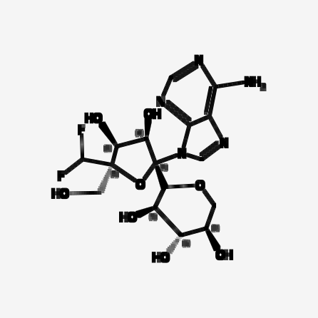 Nc1ncnc2c1ncn2[C@]1(C2OC[C@@H](O)[C@H](O)[C@H]2O)O[C@@](CO)(C(F)F)[C@@H](O)[C@H]1O